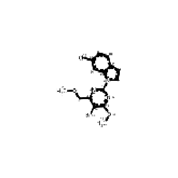 COCc1nc(-n2ccc3ccc(Cl)cc32)nc(OC)c1Br